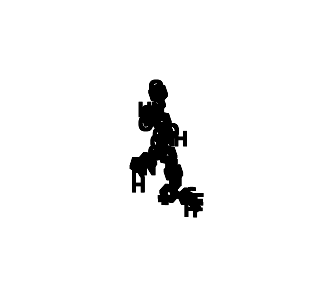 CC1(C)CCC(CN2CCN(c3ccc(C(=O)NS(=O)(=O)c4ccc(NCC5CCOCC5)c([N+](=O)[O-])c4)c(Oc4cnc5[nH]ccc5c4)c3)CC2)=C(c2csc(C(F)(F)F)c2)C1